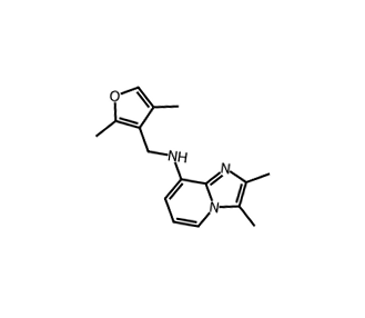 Cc1coc(C)c1CNc1cccn2c(C)c(C)nc12